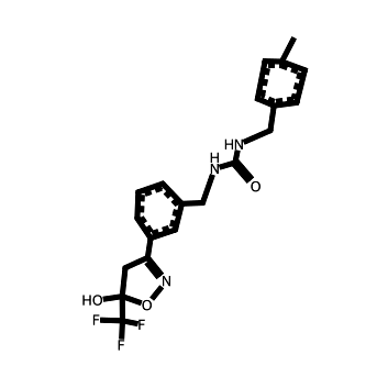 Cc1ccc(CNC(=O)NCc2cccc(C3=NOC(O)(C(F)(F)F)C3)c2)cc1